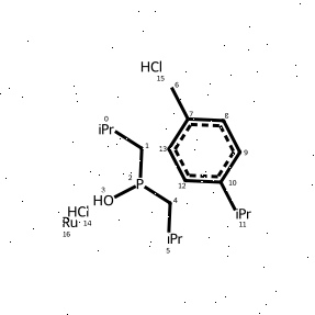 CC(C)CP(O)CC(C)C.Cc1ccc(C(C)C)cc1.Cl.Cl.[Ru]